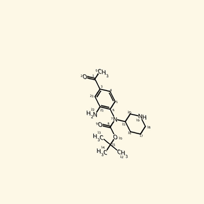 CC(=O)c1ccc(N(C(=O)OC(C)(C)C)C2CCCNC2)c(N)c1